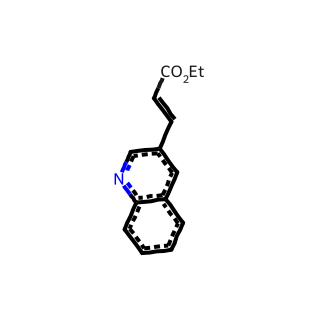 CCOC(=O)/C=C/c1cnc2ccccc2c1